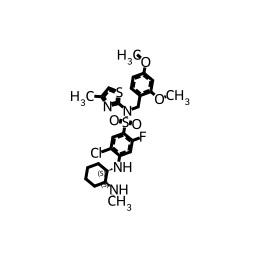 CN[C@H]1CCCC[C@@H]1Nc1cc(F)c(S(=O)(=O)N(Cc2ccc(OC)cc2OC)c2nc(C)cs2)cc1Cl